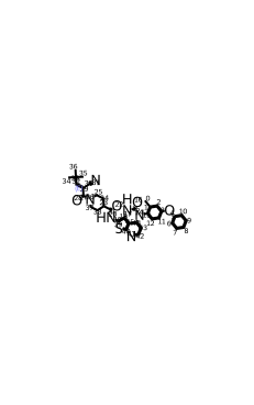 Cc1cc(Oc2ccccc2)ccc1N1C(=O)Nc2c(NC(=O)C3CCN(C(=O)/C(C#N)=C/C(C)(C)C)CC3)sc3nccc1c23